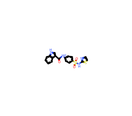 O=C(Nc1ccc(S(=O)(=O)Nc2nccs2)cc1)c1c[nH]c2ccccc12